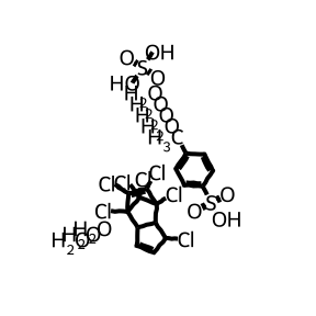 Cc1ccc(S(=O)(=O)O)cc1.ClC1=C(Cl)C2(Cl)C3C(Cl)C=CC3C1(Cl)C2(Cl)Cl.O.O.O.O.O.O.O.O=S(=O)(O)O